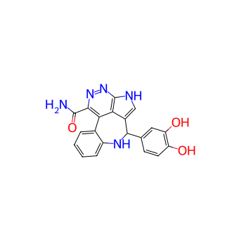 NC(=O)c1nnc2[nH]cc3c2c1-c1ccccc1NC3c1ccc(O)c(O)c1